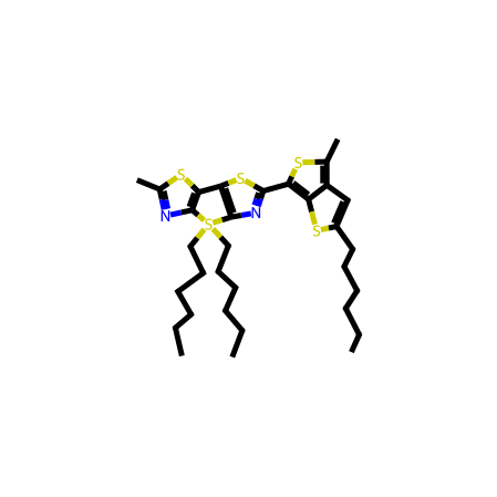 CCCCCCc1cc2c(C)sc(-c3nc4c(s3)-c3sc(C)nc3S4(CCCCCC)CCCCCC)c2s1